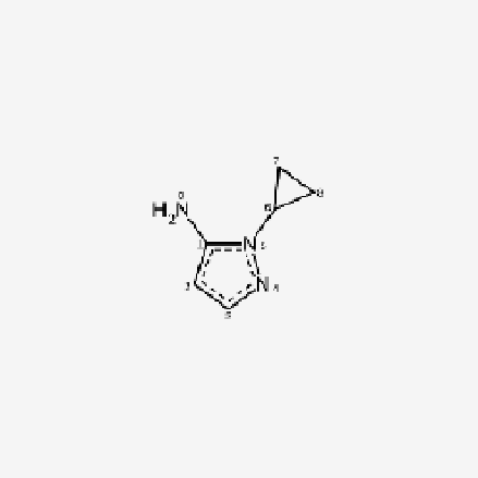 Nc1ccnn1C1CC1